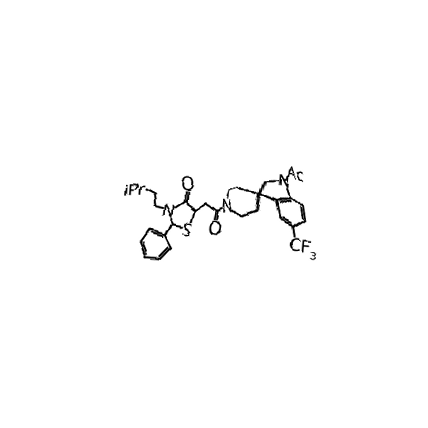 CC(=O)N1CC2(CCN(C(=O)CC3SC(c4ccccc4)N(CCC(C)C)C3=O)CC2)c2cc(C(F)(F)F)ccc21